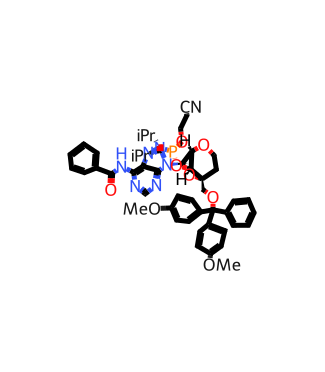 COc1ccc(C(OC[C@@]23CCO[C@@H]([C@H](n4cnc5c(NC(=O)c6ccccc6)ncnc54)O2)[C@@H]3OP(OCCC#N)N(C(C)C)C(C)C)(c2ccccc2)c2ccc(OC)cc2)cc1